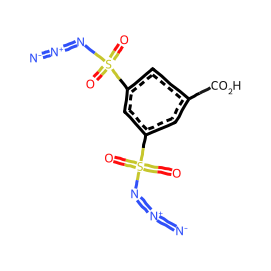 [N-]=[N+]=NS(=O)(=O)c1cc(C(=O)O)cc(S(=O)(=O)N=[N+]=[N-])c1